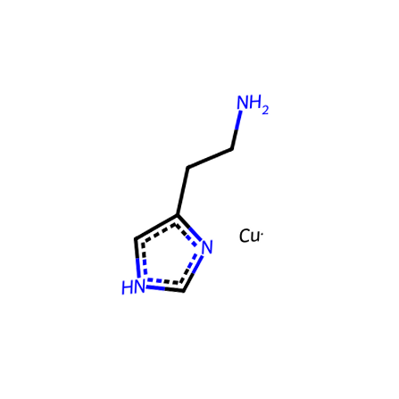 NCCc1c[nH]cn1.[Cu]